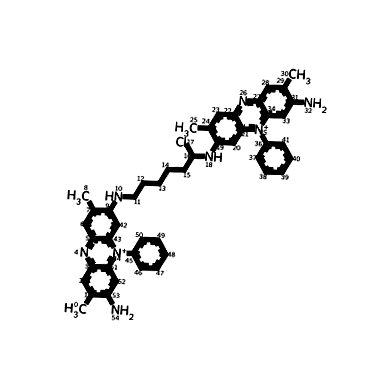 Cc1cc2nc3cc(C)c(NCCCCCC(Cl)Nc4cc5c(cc4C)nc4cc(C)c(N)cc4[n+]5-c4ccccc4)cc3[n+](-c3ccccc3)c2cc1N